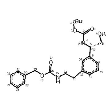 CC(C)(C)OC(=O)N[C@H](CO)c1cccc(CCNC(=O)OCc2ccccc2)c1